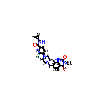 CCn1c(=O)[nH]c2cc(CN3CCN(c4ccc(C(=O)NC5CC5)nc4F)CC3)ccc2c1=O